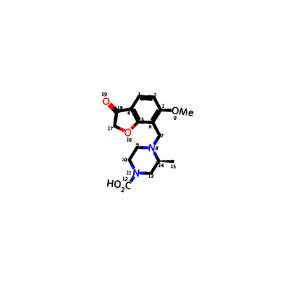 COc1ccc2c(c1CN1CCN(C(=O)O)C[C@@H]1C)OCC2=O